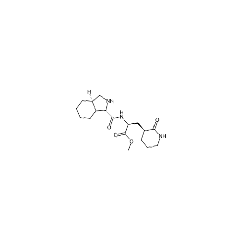 COC(=O)[C@H](C[C@@H]1CCCNC1=O)NC(=O)[C@H]1NC[C@@H]2CCCCC21